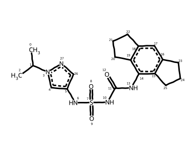 CC(C)n1cc(NS(=O)(=O)NC(=O)Nc2c3c(cc4c2CCC4)CCC3)cn1